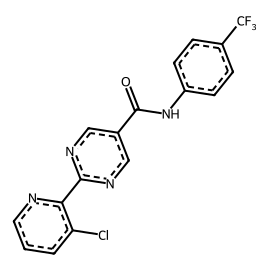 O=C(Nc1ccc(C(F)(F)F)cc1)c1cnc(-c2ncccc2Cl)nc1